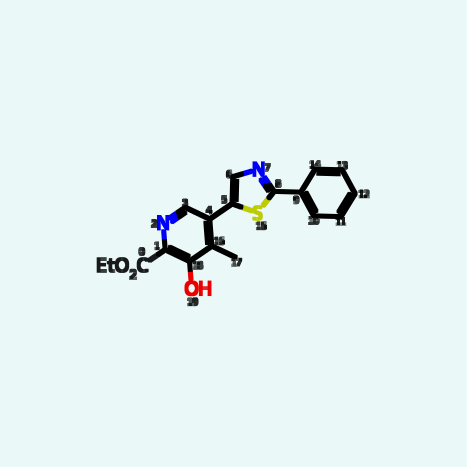 CCOC(=O)c1ncc(-c2cnc(-c3ccccc3)s2)c(C)c1O